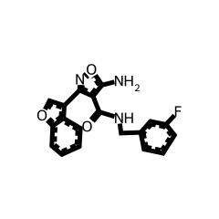 Nc1onc(-c2coc3ccccc23)c1C(=O)NCc1cccc(F)c1